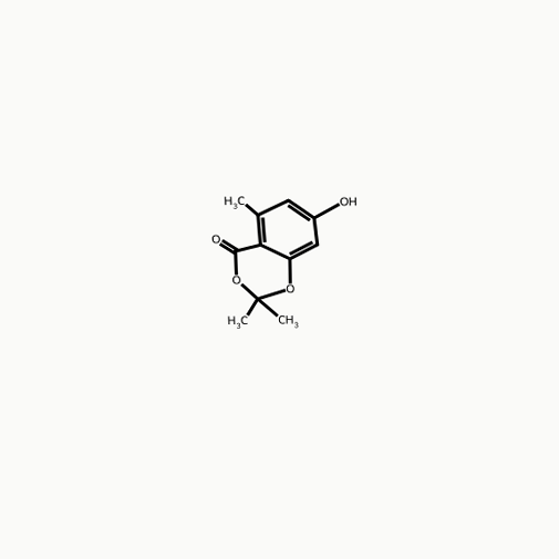 Cc1cc(O)cc2c1C(=O)OC(C)(C)O2